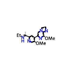 CCN[C@H](C)c1cc(-c2cn3ccnc3c(OC)n2)c(OC)cn1